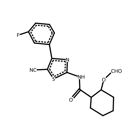 N#Cc1sc(NC(=O)C2CCCCC2OC=O)nc1-c1cccc(F)c1